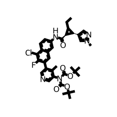 CCC1[C@H](C(=O)Nc2ccc3c(Cl)c(F)c(-c4cncc(N(C(=O)OC(C)(C)C)C(=O)OC(C)(C)C)c4C)cc3c2)[C@H]1c1cnn(C)c1